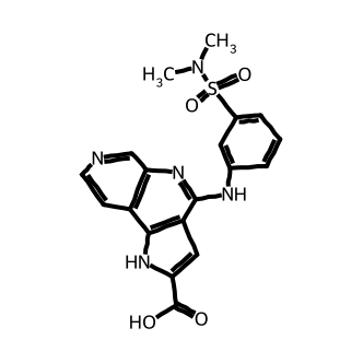 CN(C)S(=O)(=O)c1cccc(Nc2nc3cnccc3c3[nH]c(C(=O)O)cc23)c1